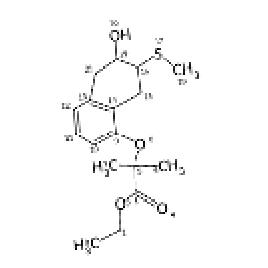 CCOC(=O)C(C)(C)Oc1cccc2c1CC(SC)C(O)C2